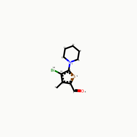 Cc1c(C=O)sc(N2CCCCC2)c1Br